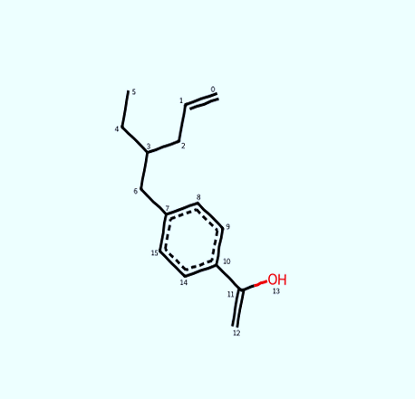 C=CCC(CC)Cc1ccc(C(=C)O)cc1